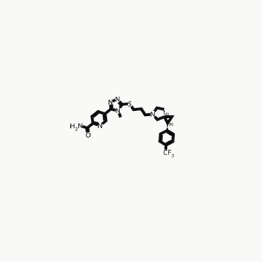 Cn1c(SCCCN2CC[C@@]3(C[C@@H]3c3ccc(C(F)(F)F)cc3)C2)nnc1-c1ccc(C(N)=O)nc1